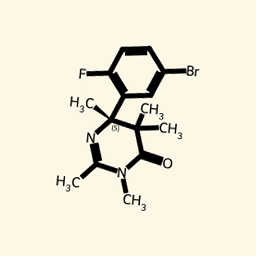 CC1=N[C@](C)(c2cc(Br)ccc2F)C(C)(C)C(=O)N1C